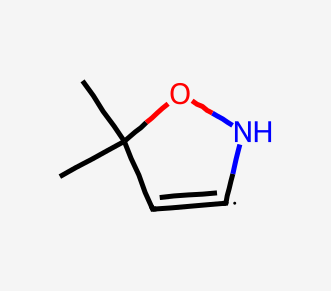 CC1(C)C=[C]NO1